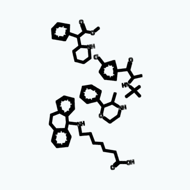 CC(NC(C)(C)C)C(=O)c1cccc(Cl)c1.CC1NCCOC1c1ccccc1.COC(=O)C(c1ccccc1)C1CCCCN1.O=C(O)CCCCCCNC1c2ccccc2CCc2ccccc21